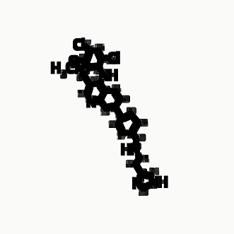 COc1cc(Nc2c(C#N)cnc3cc(-c4ccc(CNCCc5c[nH]cn5)cc4)ccc23)c(Cl)cc1Cl